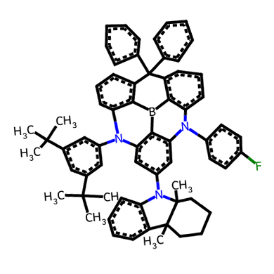 CC(C)(C)c1cc(N2c3cc(N4c5ccccc5C5(C)CCCCC45C)cc4c3B3c5c(cccc5C(c5ccccc5)(c5ccccc5)c5cccc2c53)N4c2ccc(F)cc2)cc(C(C)(C)C)c1